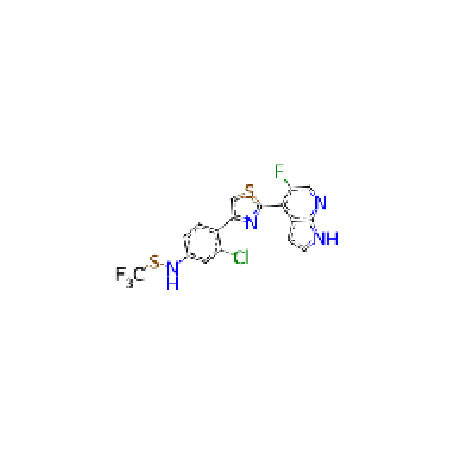 Fc1cnc2[nH]ccc2c1-c1nc(-c2ccc(NSC(F)(F)F)cc2Cl)cs1